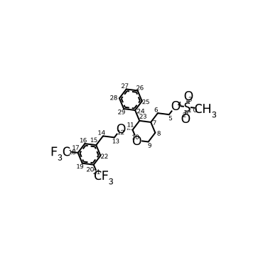 CS(=O)(=O)OCCC1CCO[C@H](OCCc2cc(C(F)(F)F)cc(C(F)(F)F)c2)C1c1ccccc1